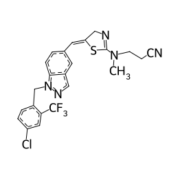 CN(CCC#N)C1=NCC(=Cc2ccc3c(cnn3Cc3ccc(Cl)cc3C(F)(F)F)c2)S1